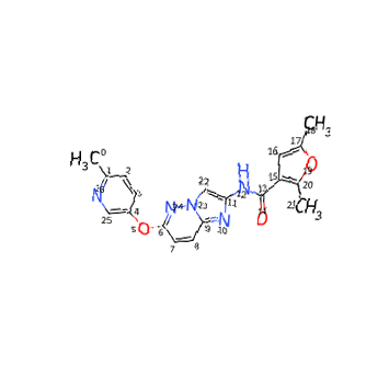 Cc1ccc(Oc2ccc3nc(NC(=O)c4cc(C)oc4C)cn3n2)cn1